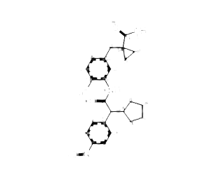 O=Nc1ccc(C(C(=O)Nc2cc(CC3(C(=O)O)CC3)ccc2F)C2CCCC2)cc1